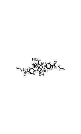 CCCNC(=O)c1ccc(C2C(O)[C@@]3(O)C(c4ccc(C(=O)NCCC)cc4)[C@@](O)([C@H](O)CO)[C@@]23O)cc1